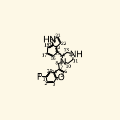 Fc1ccc2occ(CN3CCNCC3c3cccc4[nH]ccc34)c2c1